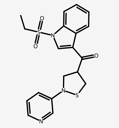 CCS(=O)(=O)n1cc(C(=O)C2CSN(c3cccnc3)C2)c2ccccc21